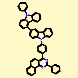 c1ccc(-c2nc(-c3ccc(-n4c5ccccc5c5cc(-c6cccc7c6c6ccccc6n7-c6ccccc6)ccc54)cc3)c3ccc4ccccc4c3n2)cc1